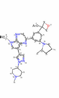 CC(=O)OC1(c2cc(-c3cnc4c(n3)c(-c3cnn(C5CCN(C)CC5)c3)cn4C(=O)O)cc(N3CCCC3C)c2)COC1